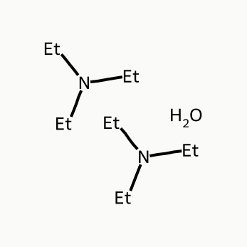 CCN(CC)CC.CCN(CC)CC.O